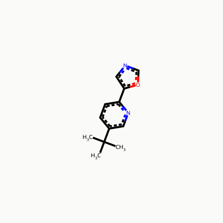 CC(C)(C)c1ccc(-c2cnco2)nc1